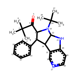 CC(C)(C)C(=O)C1C(c2ccccc2)C2c3cnccc3NC2N1C(C)(C)C